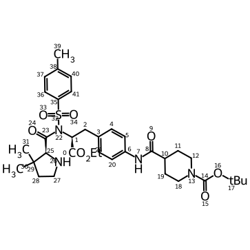 CCOC(=O)[C@H](Cc1ccc(NC(=O)C2CCN(C(=O)OC(C)(C)C)CC2)cc1)N(C(=O)[C@H]1NCCC1(C)C)S(=O)(=O)c1ccc(C)cc1